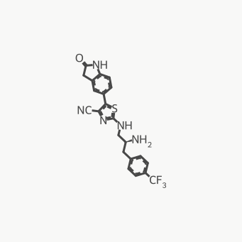 N#Cc1nc(NC[C@@H](N)Cc2ccc(C(F)(F)F)cc2)sc1-c1ccc2c(c1)CC(=O)N2